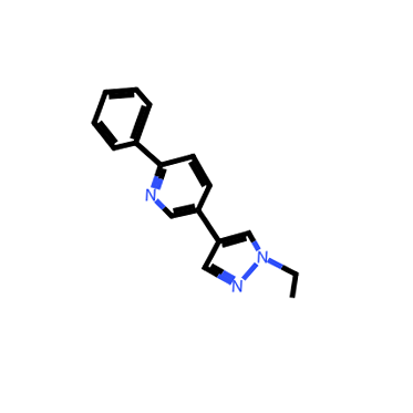 CCn1cc(-c2ccc(-c3ccccc3)nc2)cn1